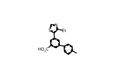 CCc1ncsc1-c1cc(C(=O)O)cc(-c2ccc(C)cc2)c1